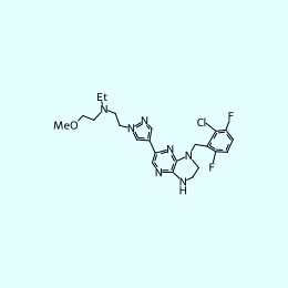 CCN(CCOC)CCn1cc(-c2cnc3c(n2)N(Cc2c(F)ccc(F)c2Cl)CCN3)cn1